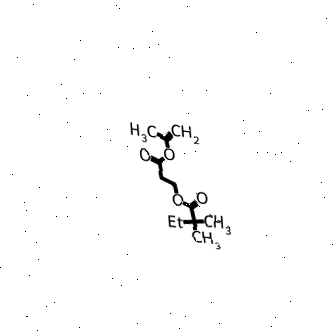 C=C(C)OC(=O)CCOC(=O)C(C)(C)CC